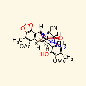 COc1c(C)cc2c(c1O)[C@@H]1[C@@H]3[C@@H]4SCC(N)C(=O)OCC[C@@H](c5c6c(c(C)c(OC(C)=O)c54)OCO6)N3[C@@H](C#N)[C@H](C2)N1C